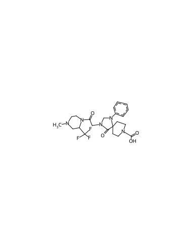 CN1CCN(C(=O)CN2CN(c3ccccc3)C3(CCN(C(=O)O)CC3)C2=O)C(C(F)(F)F)C1